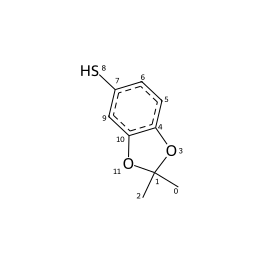 CC1(C)Oc2ccc(S)cc2O1